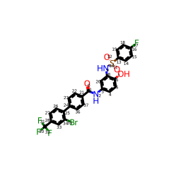 O=C(Nc1ccc(O)c(NS(=O)(=O)c2ccc(F)cc2)c1)c1ccc(-c2ccc(C(F)(F)F)cc2Br)cc1